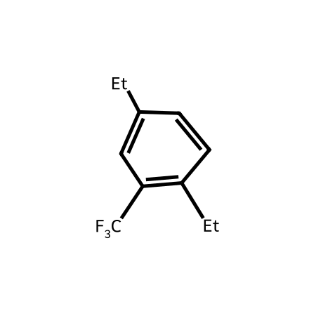 CCc1ccc(CC)c(C(F)(F)F)c1